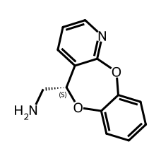 NC[C@H]1Oc2ccccc2Oc2ncccc21